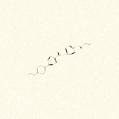 CCCC(=O)Oc1ccc(OC(=O)c2ccc(C3CCC(CCC)CC3)cc2)cc1